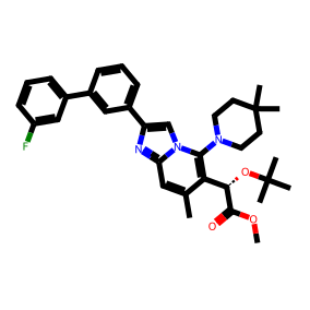 COC(=O)[C@@H](OC(C)(C)C)c1c(C)cc2nc(-c3cccc(-c4cccc(F)c4)c3)cn2c1N1CCC(C)(C)CC1